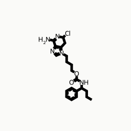 CCCC(NC(=O)OCCCCn1cnc2c1CC(Cl)N=C2N)c1ccccc1